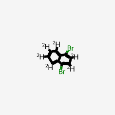 [2H]c1c([2H])c([2H])c2c(Br)c([2H])c([2H])c(Br)c2c1[2H]